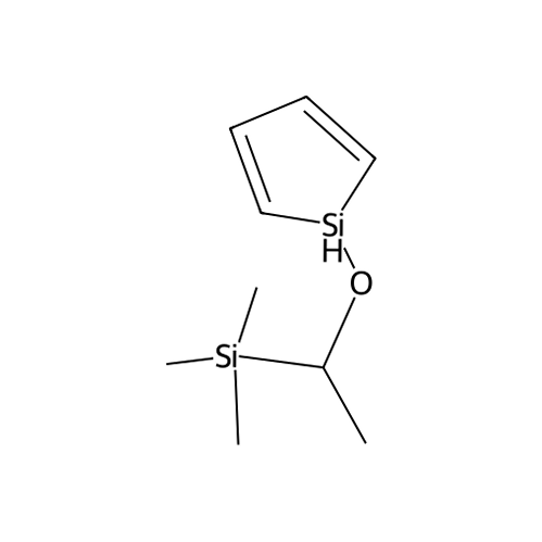 CC(O[SiH]1C=CC=C1)[Si](C)(C)C